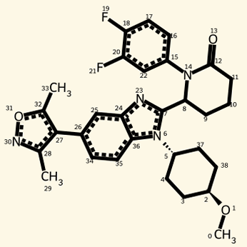 CO[C@H]1CC[C@H](n2c(C3CCCC(=O)N3c3ccc(F)c(F)c3)nc3cc(-c4c(C)noc4C)ccc32)CC1